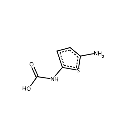 Nc1ccc(NC(=O)O)s1